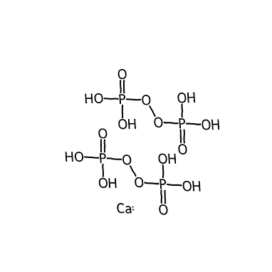 O=P(O)(O)OOP(=O)(O)O.O=P(O)(O)OOP(=O)(O)O.[Ca]